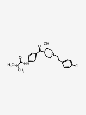 CN(C)C(=O)Nc1ccc(C(=O)N2CCN(CCc3ccc(Cl)cc3)CC2)cc1.Cl